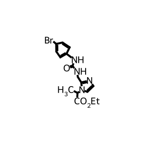 CCOC(=O)C(C)n1ccnc1CNC(=O)Nc1ccc(Br)cc1